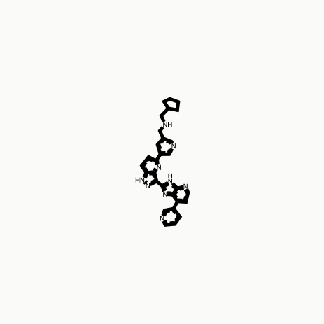 c1cncc(-c2ccnc3[nH]c(-c4n[nH]c5ccc(-c6cncc(CNCC7CCCC7)c6)nc45)nc23)c1